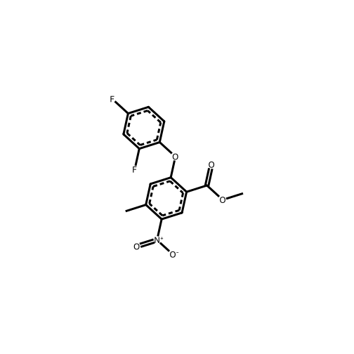 COC(=O)c1cc([N+](=O)[O-])c(C)cc1Oc1ccc(F)cc1F